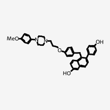 COc1ccc(N2CCN(CCCOc3ccc(Cc4c(-c5ccc(O)cc5)ccc5cc(O)ccc45)cc3)CC2)cc1